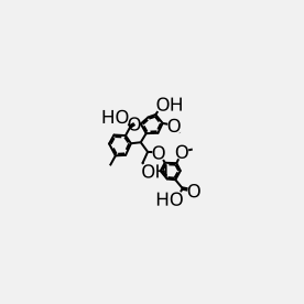 COc1cc(C(c2cc(C)ccc2C(=O)O)C(CO)Oc2ccc(C(=O)O)cc2OC)ccc1O